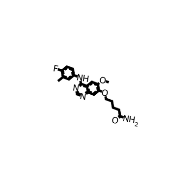 COc1cc2c(Nc3ccc(F)c(C)c3)ncnc2cc1OCCCCC(N)=O